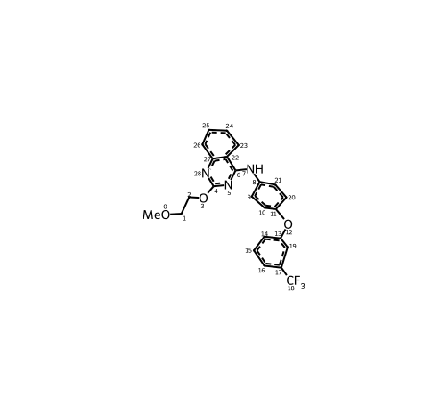 COCCOc1nc(Nc2ccc(Oc3cccc(C(F)(F)F)c3)cc2)c2ccccc2n1